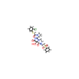 O=C1c2c(O)c(=O)nc(C3CCCN3C(=O)CSc3ccccc3Cl)n2CCN1CCS(=O)(=O)c1ccccc1